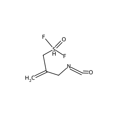 C=C(CN=C=O)C[SH](=O)(F)F